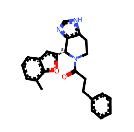 Cc1cccc2cc([C@@H]3c4nc[nH]c4CCN3C(=O)CCc3ccccc3)oc12